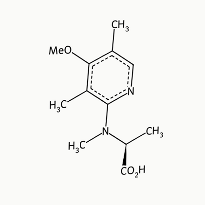 COc1c(C)cnc(N(C)[C@@H](C)C(=O)O)c1C